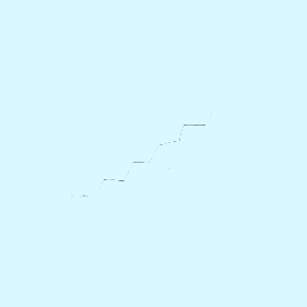 CCCCCCCCCCCCCCCC(=O)O.[Hg]